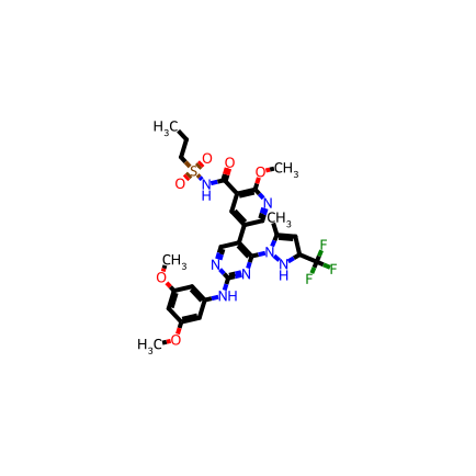 CCCS(=O)(=O)NC(=O)c1cc(-c2cnc(Nc3cc(OC)cc(OC)c3)nc2N2NC(C(F)(F)F)C=C2C)cnc1OC